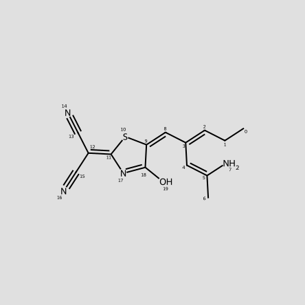 CC/C=C(\C=C(\C)N)/C=c1/sc(=C(C#N)C#N)nc1O